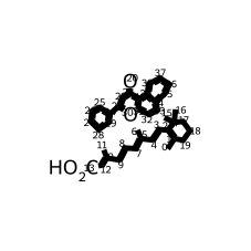 CC1=C(/C=C/C(C)=C/C=C/C(C)=C/C(=O)O)C(C)(C)CCC1.O=c1cc(-c2ccccc2)oc2ccc3ccccc3c12